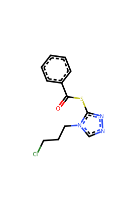 O=C(Sc1nncn1CCCCl)c1ccccc1